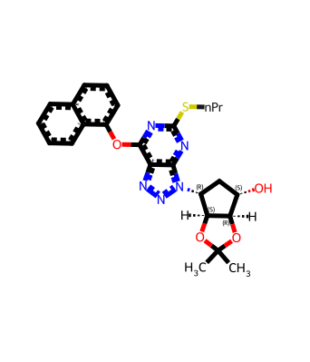 CCCSc1nc(Oc2cccc3ccccc23)c2nnn([C@@H]3C[C@H](O)[C@H]4OC(C)(C)O[C@H]43)c2n1